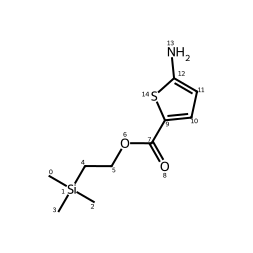 C[Si](C)(C)CCOC(=O)c1ccc(N)s1